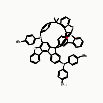 CC(C)(C)c1ccc(N(c2ccc(C(C)(C)C)cc2)c2ccc3c(c2)C2(c4ccc5sc6ccccc6c5c4)c4ccc5c(c4)sc4cccc(c45)C(C)(C)c4ccc(cc4)N(c4ccc(C(C)(C)C)cc4)c4cc2c-3c2c4oc3ccccc32)cc1